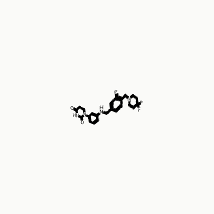 O=C1CCN(c2cccc(NCc3ccc(CN4CCC(F)(F)CC4)c(F)c3)c2)C(=O)N1